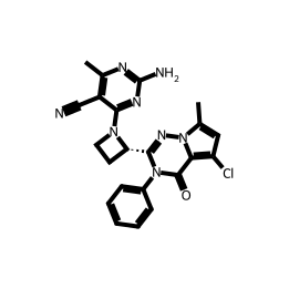 Cc1nc(N)nc(N2CC[C@H]2c2nn3c(C)cc(Cl)c3c(=O)n2-c2ccccc2)c1C#N